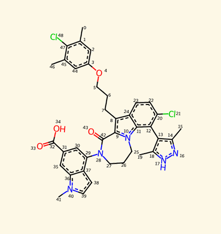 Cc1cc(OCCCc2c3n(c4c(-c5c(C)n[nH]c5C)c(Cl)ccc24)CCCN(c2cc(C(=O)O)cc4c2ccn4C)C3=O)cc(C)c1Cl